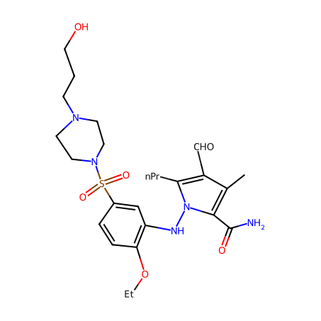 CCCc1c(C=O)c(C)c(C(N)=O)n1Nc1cc(S(=O)(=O)N2CCN(CCCO)CC2)ccc1OCC